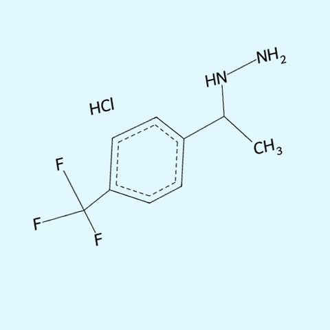 CC(NN)c1ccc(C(F)(F)F)cc1.Cl